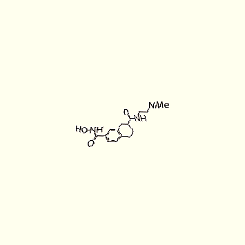 CNCCNC(=O)C1CCc2ccc(C(=O)NO)cc2C1